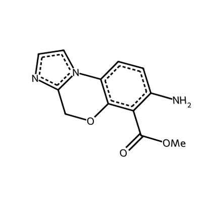 COC(=O)c1c(N)ccc2c1OCc1nccn1-2